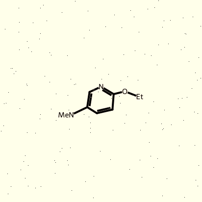 CCOc1ccc(NC)cn1